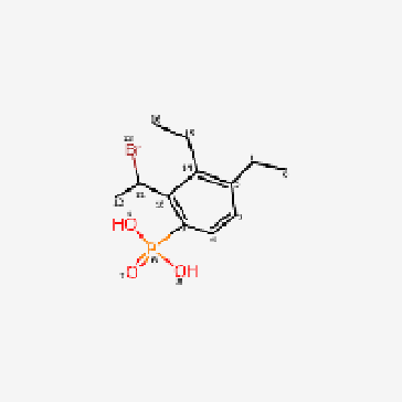 CCc1ccc(P(=O)(O)O)c(C(C)Br)c1CC